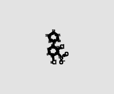 O=[N+]([O-])c1c(Cl)ccc(-c2ccccc2)c1Cl